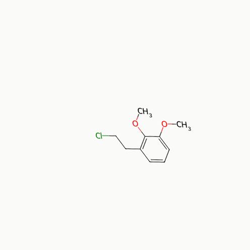 COc1cccc(CCCl)c1OC